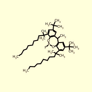 CCCCCCCCCC(C)(C)c1cc(C(C)(C)C)cc2c1OP(F)Oc1c(cc(C(C)(C)C)cc1C(C)(C)CCCCCCCCC)C2C